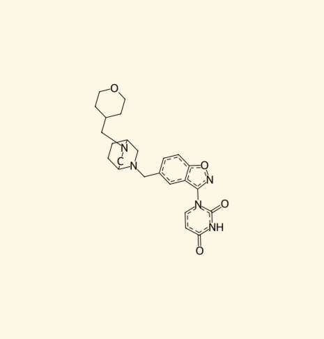 O=c1ccn(-c2noc3ccc(CN4CC5CCC4CN5CC4CCOCC4)cc23)c(=O)[nH]1